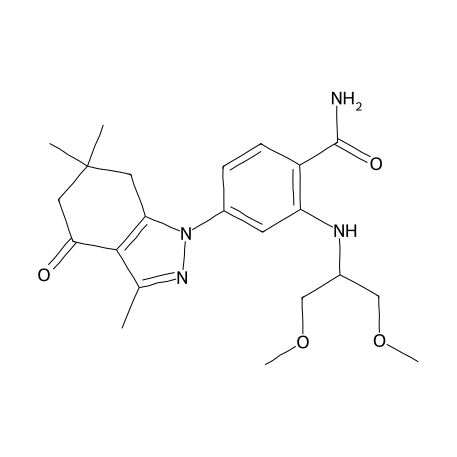 COCC(COC)Nc1cc(-n2nc(C)c3c2CC(C)(C)CC3=O)ccc1C(N)=O